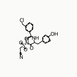 N#CCS(=O)(=O)NC(=O)C(Cc1ccc(O)cc1)NC(=O)c1cccc(CCl)c1